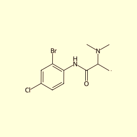 [CH2]C(C(=O)Nc1ccc(Cl)cc1Br)N(C)C